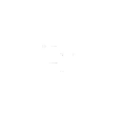 CCCN(CO)C(C)O